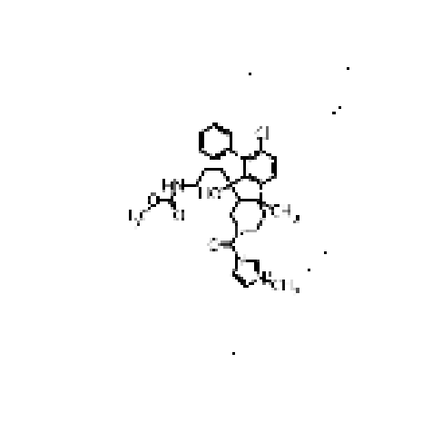 CCc1ccc(Cl)c(-c2ccccc2)c1C(O)(CCCNC(=O)OC)C1CCCN(C(=O)n2cc[n+](C)c2)C1